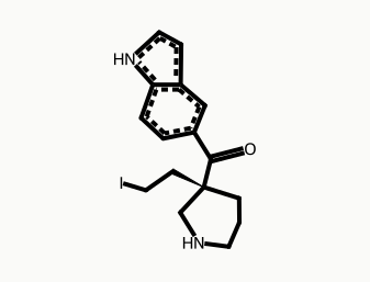 O=C(c1ccc2[nH]ccc2c1)[C@]1(CCI)CCCNC1